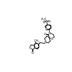 Cc1c(CCN2CCC3(CC2)OCCN(c2ccc(S(C)(=O)=O)cn2)C3=O)ccc2c1COC2=O